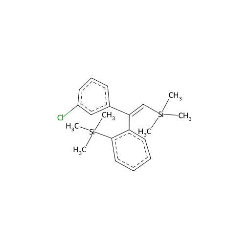 C[Si](C)(C)C=C(c1cccc(Cl)c1)c1ccccc1[Si](C)(C)C